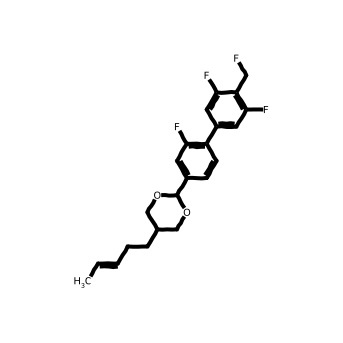 C/C=C/CCC1COC(c2ccc(-c3cc(F)c(CF)c(F)c3)c(F)c2)OC1